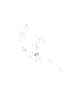 CCn1c(-c2cccnc2[C@H](C)OC)c2c3cc(ccc31)-c1csc(n1)C[C@H](NC(=O)[C@H](C(C)C)N(C)C(=O)N1CCC3(CC1)CN(C(=O)/C=C/CN(C)C)C3)C(=O)N1CCC[C@@](O)(N1)C(=O)OCC(C)(C)C2